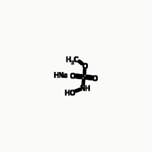 COS(=O)(=O)NO.[NaH]